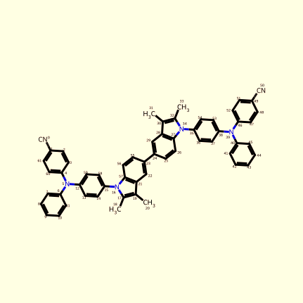 [C-]#[N+]c1ccc(N(c2ccccc2)c2ccc(-n3c(C)c(C)c4cc(-c5ccc6c(c5)c(C)c(C)n6-c5ccc(N(c6ccccc6)c6ccc(C#N)cc6)cc5)ccc43)cc2)cc1